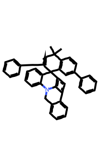 CC1(C)c2ccc(-c3ccccc3)cc2C2(c3ccccc3N3Cc4ccccc4-c4cccc2c43)c2cc(-c3ccccc3)ccc21